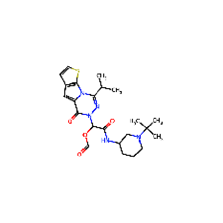 CC(C)c1nn(C(OC=O)C(=O)NC2CCCN(C(C)(C)C)C2)c(=O)c2cc3ccsc3n12